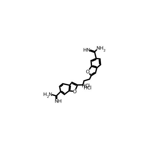 Cl.Cl.N=C(N)c1ccc2cc(CCCc3cc4ccc(C(=N)N)cc4o3)oc2c1